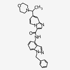 CC(c1ccn2c(C(=O)Nc3cccc4c3cnn4Cc3ccccc3)cnc2c1)N1CCOCC1